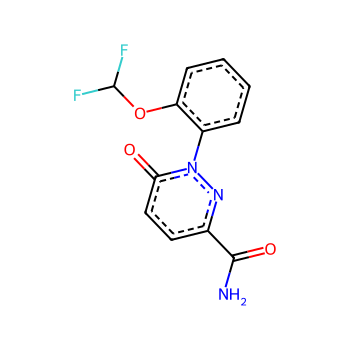 NC(=O)c1ccc(=O)n(-c2ccccc2OC(F)F)n1